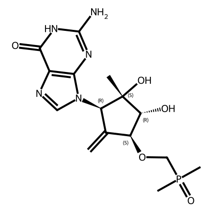 C=C1[C@H](OCP(C)(C)=O)[C@@H](O)[C@@](C)(O)[C@@H]1n1cnc2c(=O)[nH]c(N)nc21